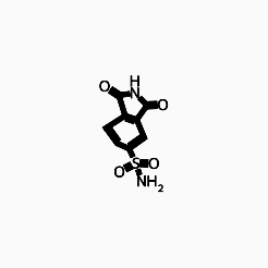 NS(=O)(=O)c1ccc2c(c1)C(=O)NC2=O